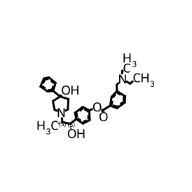 CCN(CC)Cc1cccc(C(=O)Oc2ccc([C@H](O)[C@H](C)N3CCC(O)(c4ccccc4)CC3)cc2)c1